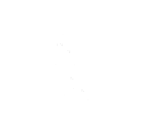 CCCCON1C(=O)N2CC1CC[C@H]2C(=O)NNC(=O)C(C)CC